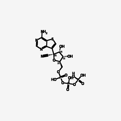 N#C[C@@]1(c2csc3c(N)ncnc23)O[C@H](COP(=O)(O)OP(=O)(O)OP(=O)(O)O)[C@@H](O)[C@H]1O